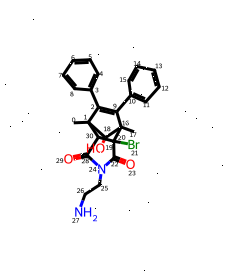 CC12C(c3ccccc3)=C(c3ccccc3)C(C)(C1O)C1(Br)C(=O)N(CCN)C(=O)C21